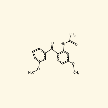 COc1cccc(C(=O)c2ccc(OC)cc2NC(C)=O)c1